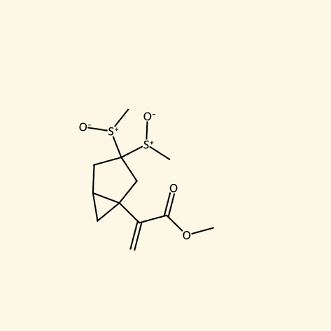 C=C(C(=O)OC)C12CC1CC([S+](C)[O-])([S+](C)[O-])C2